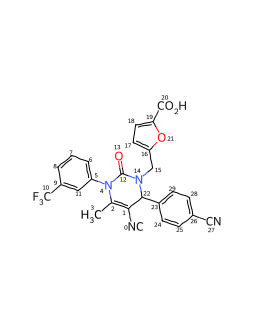 [C-]#[N+]C1=C(C)N(c2cccc(C(F)(F)F)c2)C(=O)N(Cc2ccc(C(=O)O)o2)C1c1ccc(C#N)cc1